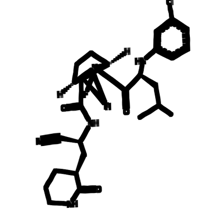 CC(C)C[C@H](Nc1cccc(Cl)c1)C(=O)N1[C@@H]2CC[C@H]([C@H]1C(=O)N[C@H](C#N)C[C@@H]1CCCNC1=O)C(F)(F)C2